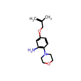 C=C(C)COc1ccc(N2CCOCC2)c(N)c1